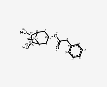 CN1C2C[C@@H](OC(=O)Cc3ccccc3)CC1[C@H](O)[C@@H]2O